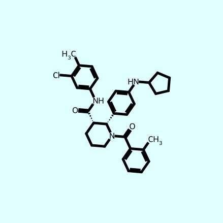 Cc1ccc(NC(=O)[C@H]2CCCN(C(=O)c3ccccc3C)[C@H]2c2ccc(NC3CCCC3)cc2)cc1Cl